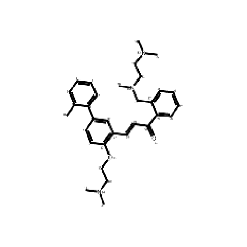 Cc1ccccc1-c1ccc(OCCN(C)C)c(C=CC(=O)c2ccccc2CN(C)CCN(C)C)c1